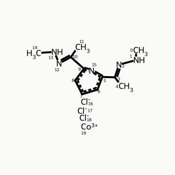 CNN=C(C)c1cccc(C(C)=NNC)n1.[Cl-].[Cl-].[Cl-].[Co+3]